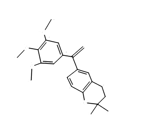 C=C(c1ccc2c(c1)CCC(C)(C)O2)c1cc(OC)c(OC)c(OC)c1